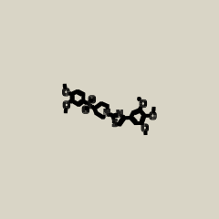 COc1ccc(S(=O)(=O)C2CCN(c3nc(-c4cc(OC)c(OC)c(OC)c4)cs3)CC2)cc1OC